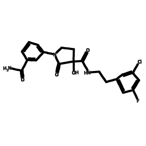 NC(=O)c1cccc(N2CCC(O)(C(=O)NCCc3cc(F)cc(Cl)c3)C2=O)c1